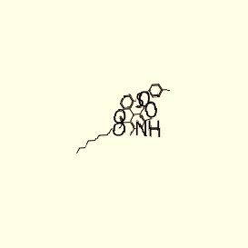 CCCCCCCCOC(=O)C1=C(C)NC2=C(C(=O)OC2)C1c1ccccc1SCc1ccc(C)cc1